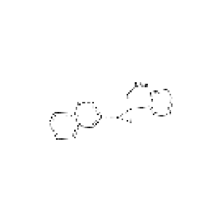 CNC[C@]1(c2ccccc2)C[C@@H]1c1ccc2ccccc2c1